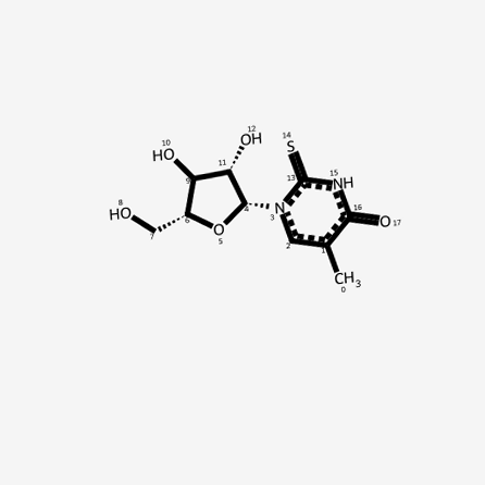 Cc1cn([C@@H]2O[C@H](CO)C(O)[C@@H]2O)c(=S)[nH]c1=O